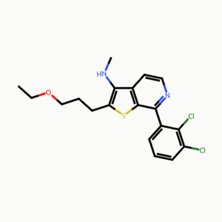 CCOCCCc1sc2c(-c3cccc(Cl)c3Cl)nccc2c1NC